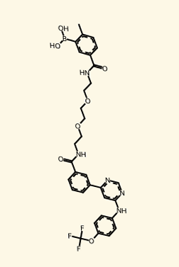 Cc1ccc(C(=O)NCCOCCOCCNC(=O)c2cccc(-c3cc(Nc4ccc(OC(F)(F)F)cc4)ncn3)c2)cc1B(O)O